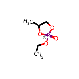 CCO[P@@]1(=O)OCC(C)O1